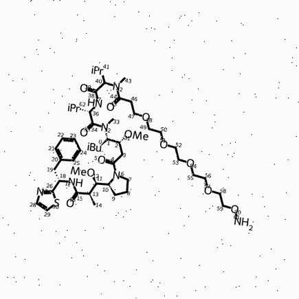 CC[C@H](C)[C@@H]([C@@H](CC(=O)N1CCC[C@H]1[C@H](OC)[C@@H](C)C(=O)N[C@@H](Cc1ccccc1)c1nccs1)OC)N(C)C(=O)[C@@H](NC(=O)C(C(C)C)N(C)C(=O)CCOCCOCCOCCOCCON)C(C)C